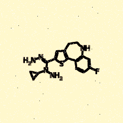 N/N=C(/c1cc2c(s1)-c1ccc(F)cc1NCC2)N(N)C1CC1